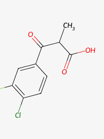 CC(C(=O)O)C(=O)c1ccc(Cl)c(F)c1